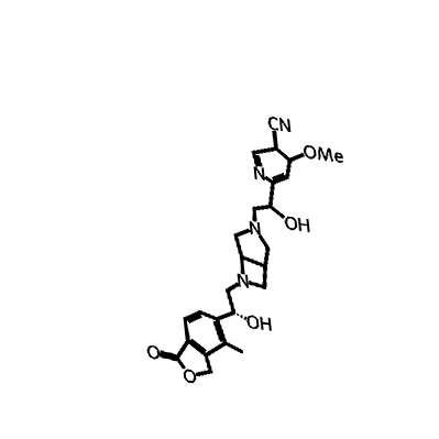 COC1C=C(C(O)CN2CC3CN(C[C@H](O)c4ccc5c(c4C)COC5=O)C3C2)N=CC1C#N